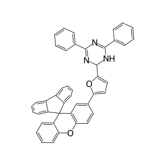 c1ccc(C2=NC(c3ccc(-c4ccc5c(c4)C4(c6ccccc6O5)c5ccccc5-c5ccccc54)o3)NC(c3ccccc3)=N2)cc1